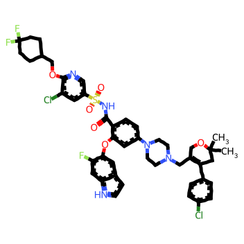 CC1(C)CC(c2ccc(Cl)cc2)=C(CN2CCN(c3ccc(C(=O)NS(=O)(=O)c4cnc(OCC5CCC(F)(F)CC5)c(Cl)c4)c(Oc4cc5cc[nH]c5cc4F)c3)CC2)CO1